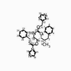 C[C@@H](Cc1ccccc1)C[C@H](OC(=S)n1ccnc1)[C@H](Cc1ccccc1)NC(=O)OCc1cncs1